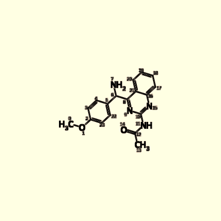 COc1ccc(C(N)c2nc(NC(C)=O)nc3ccccc23)cc1